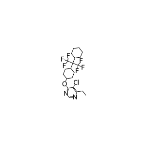 CCc1ncnc(OC2CCC(C(C3CCCCC3)(C(F)(F)F)C(F)(F)F)CC2)c1Cl